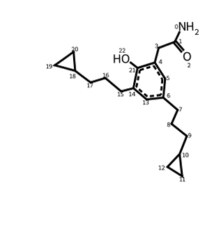 NC(=O)Cc1cc(CCCC2CC2)cc(CCCC2CC2)c1O